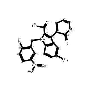 Cc1ccc2c(c1)c(-c1ccc[nH]c1=O)c(C(=O)O)n2Cc1cc([N+](=O)[O-])ccc1F